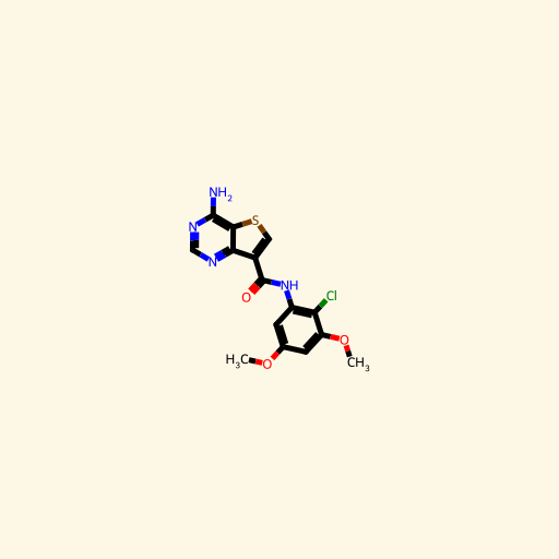 COc1cc(NC(=O)c2csc3c(N)ncnc23)c(Cl)c(OC)c1